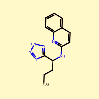 CC(C)(C)CC[C@H](Nc1ccc2ccccc2n1)c1nn[nH]n1